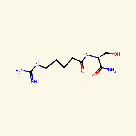 N=C(N)NCCCCC(=O)N[C@@H](CO)C(N)=O